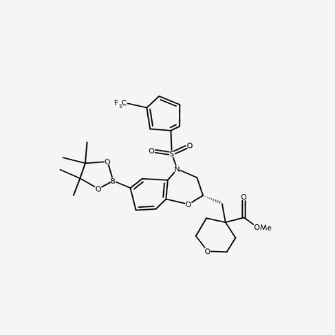 COC(=O)C1(C[C@H]2CN(S(=O)(=O)c3cccc(C(F)(F)F)c3)c3cc(B4OC(C)(C)C(C)(C)O4)ccc3O2)CCOCC1